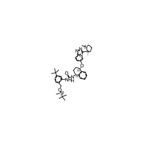 CN1CCC[C@@]1(C)c1nnc2ccc(O[C@@H]3CC[C@H](NC(=O)Nc4cc(C(C)(C)C)ccc4CO[Si](C)(C)C(C)(C)C)c4ccccc43)cn12